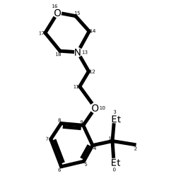 CCC(C)(CC)c1ccccc1OCCN1CCOCC1